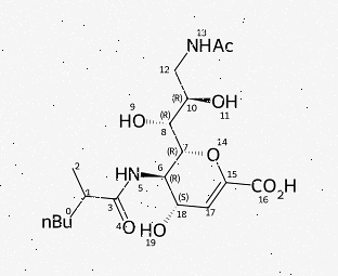 CCCCC(C)C(=O)N[C@H]1[C@H]([C@H](O)[C@H](O)CNC(C)=O)OC(C(=O)O)=C[C@@H]1O